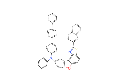 c1ccc(-c2ccc(-c3ccc(N(c4ccccc4)c4ccc5oc6ccc7sc(-c8ccc9ccccc9c8)nc7c6c5c4)cc3)cc2)cc1